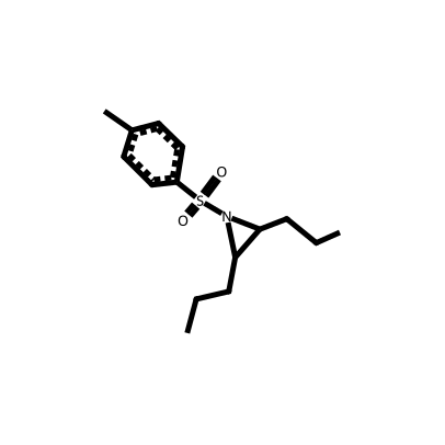 CCCC1C(CCC)N1S(=O)(=O)c1ccc(C)cc1